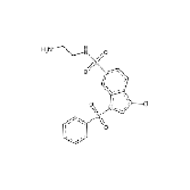 NCCNS(=O)(=O)c1ccc2c(Cl)cn(S(=O)(=O)c3ccccc3)c2c1